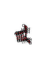 CCCCCCCCCC(=O)O.CCCCCCCCCC(=O)O.CCCCCCCCCC(=O)O.CCCCCCCCCC(=O)O.N=C(NCCCCCCNC(=N)NC(=N)Nc1ccc(Cl)cc1)NC(=N)Nc1ccc(Cl)cc1